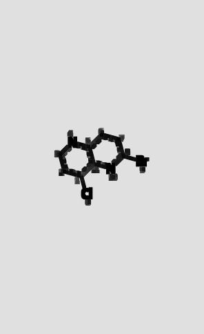 Clc1ccnc2ccc(Br)nc12